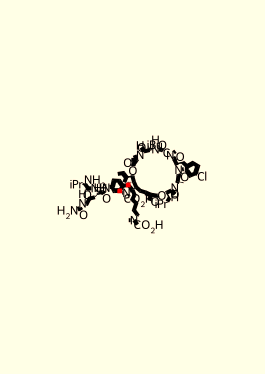 C/C=C(\C)[C@H]1OC(=O)C(C)(C)NC(=O)[C@H]([C@H](C)CC)NC(=O)CN(C)C(=O)[C@@H](Cc2ccc(Cl)cc2)N(C)C(=O)[C@H](C)NC(=O)[C@@H](CC(C)C)OC(=O)/C(C)=C/C[C@H](C(CCCCCN(C)C(=O)O)(Cc2ccc(NC(=O)[C@H](CCCNC(N)=O)NC(=O)[C@@H](N)C(C)C)cc2)N(C)C(=O)O)[C@@H]1C